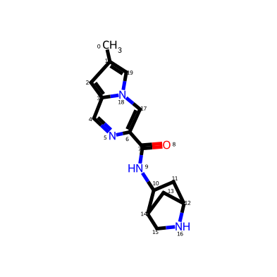 Cc1cc2cnc(C(=O)NC3CC4CC3CN4)cn2c1